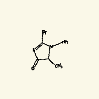 CCCN1C(C(C)C)=NC(=O)C1C